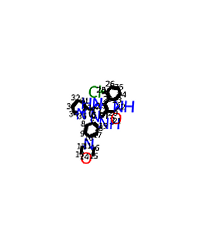 C[C@H](Nc1c(-c2nc3ccc(N4CCOCC4)cc3[nH]2)c(=O)[nH]c2cccc(Cl)c12)c1ccccn1